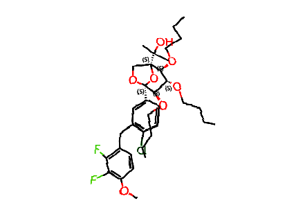 CCCCO[C@@H]1[C@@H](OCCCC)[C@@]2(c3ccc(Cl)c(Cc4ccc(OC)c(F)c4F)c3)OC[C@](C(C)(C)O)(O2)[C@H]1OCCCC